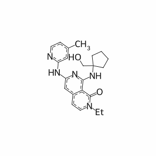 CCn1ccc2cc(Nc3cc(C)ccn3)nc(NC3(CO)CCCC3)c2c1=O